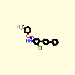 CC1CCCC(Oc2nc3cc(-c4ccc(-c5ccccc5)cc4)c(Cl)cc3[nH]2)C1